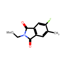 COCN1C(=O)c2cc(C)c(F)cc2C1=O